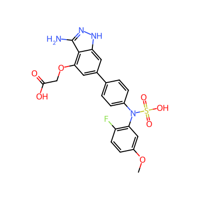 COc1ccc(F)c(N(c2ccc(-c3cc(OCC(=O)O)c4c(N)n[nH]c4c3)cc2)S(=O)(=O)O)c1